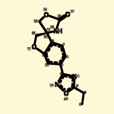 CCc1nc(-c2ccc3c(c2)OC[C@]32COC(=O)N2)no1